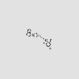 Fc1cc(Br)cc(F)c1OCCCCN1CCN(c2cccc3ccsc23)CC1